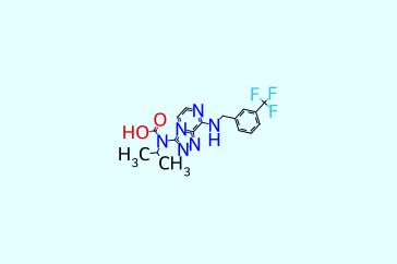 CC(C)N(C(=O)O)c1nnc2c(NCc3cccc(C(F)(F)F)c3)nccn12